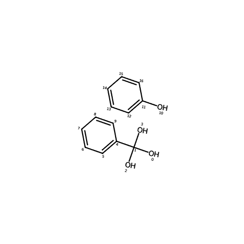 OC(O)(O)c1ccccc1.Oc1ccccc1